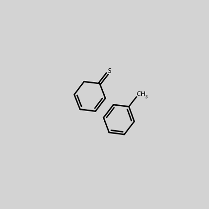 Cc1ccccc1.S=C1C=CC=CC1